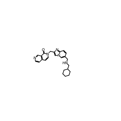 O=c1c2cnccc2ccn1Cc1cn2cc(CNCC3CCCCC3)ccc2n1